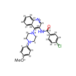 COc1ccc(N2CCN(c3c(NC(=O)c4ccc(Cl)cc4)cnc4ccccc34)CC2)cc1